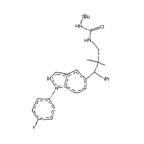 CC(C)C(c1ccc2c(cnn2-c2ccc(F)cc2)c1)C(C)(C)CNC(=O)NC(C)(C)C